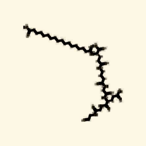 O=CCNC(=O)CNC(=O)[C@H](CCC(=O)O)NC(=O)CNC(=O)CCCNC(=O)CC[C@H](NC(=O)CCCCCCCCCCCCCCCCC(=O)O)C(=O)O